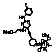 COCCNc1nc(Nc2cccc(F)c2)ncc1C#CC1CCC[C@H](NC(=O)[C@H](C)N(C)C(=O)OC(C)(C)C)C1